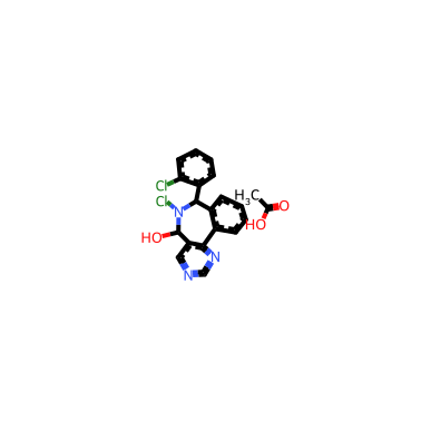 CC(=O)O.OC1c2cncnc2-c2ccccc2C(c2ccccc2Cl)N1Cl